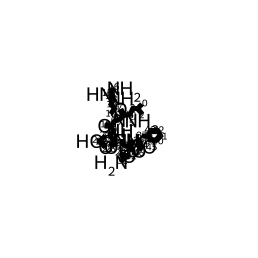 CC(C)C[C@H](N)C(=O)N[C@@H](CCCNC(=N)N)C(=O)N[C@@H](CC(=O)O)C(=O)N[C@@H](CC(N)=O)C(=O)N[C@@H](Cc1ccccc1)C(=O)O